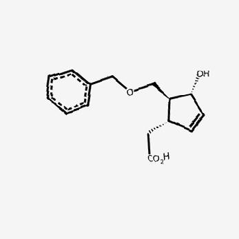 O=C(O)C[C@H]1C=C[C@@H](O)[C@@H]1COCc1ccccc1